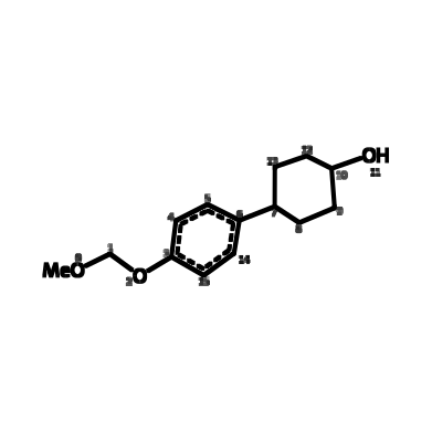 COCOc1ccc(C2CCC(O)CC2)cc1